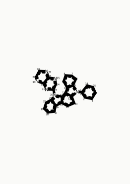 c1ccc(-n2c3ccccc3c3c2ccc2c4ccccc4n(-c4cnc5nccnc5n4)c23)cc1